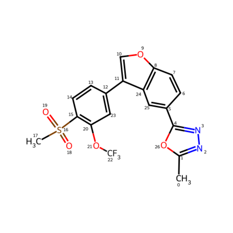 Cc1nnc(-c2ccc3occ(-c4ccc(S(C)(=O)=O)c(OC(F)(F)F)c4)c3c2)o1